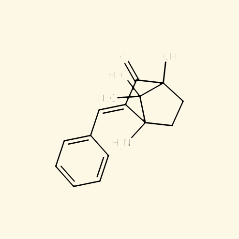 CC12CCC(N)(C(=Cc3ccccc3)C1=O)C2(C)C